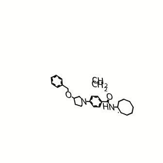 O=C(NC1[CH]CCCCCC1)c1ccc(N2CCC(OCc3ccccc3)C2)cc1.[CH2].[CH2]